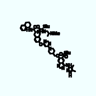 CN[C@@H](C)CN[C@H](C(=O)N1Cc2cc(Oc3cc(N4CCC(COc5cc6ncnc(Nc7n[nH]c(C)c7C)c6cc5S(=O)(=O)C(C)(C)C)CC4)ncn3)ccc2C[C@H]1C(=O)N[C@@H]1CCCc2ccccc21)C(C)(C)C